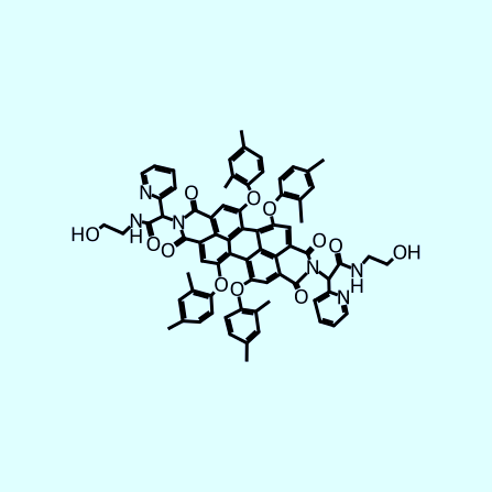 Cc1ccc(Oc2cc3c4c(cc(Oc5ccc(C)cc5C)c5c6c(Oc7ccc(C)cc7C)cc7c8c(cc(Oc9ccc(C)cc9C)c(c2c45)c86)C(=O)N(C(C(=O)NCCO)c2ccccn2)C7=O)C(=O)N(C(C(=O)NCCO)c2ccccn2)C3=O)c(C)c1